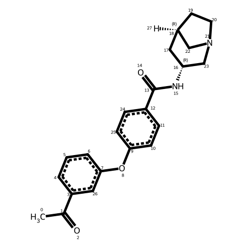 CC(=O)c1cccc(Oc2ccc(C(=O)N[C@@H]3C[C@H]4CCN(C4)C3)cc2)c1